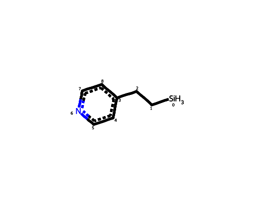 [SiH3]CCc1ccncc1